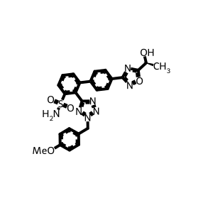 COc1ccc(Cn2nnc(-c3c(-c4ccc(-c5noc([C@H](C)O)n5)cc4)cccc3S(N)(=O)=O)n2)cc1